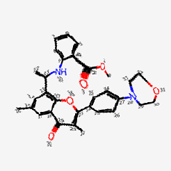 COC(=O)c1ccccc1NC(C)c1cc(C)cc2c(=O)c(C)c(-c3ccc(N4CCOCC4)cc3)oc12